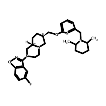 CC1CCCC(C)N1Cc1cccc(OC[C@@H]2CC[C@H]3CN(c4noc5ccc(F)cc45)CCN3C2)n1